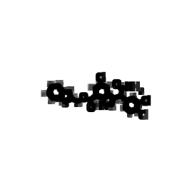 NC(=O)C(c1ccc(Cl)c(Cl)c1)c1c[nH]c2c(C(=O)OCc3cc4ccccc4s3)cc(Cl)cc12